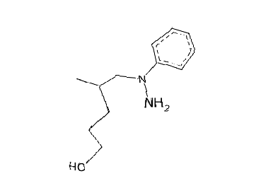 CC(CCCO)CN(N)c1ccccc1